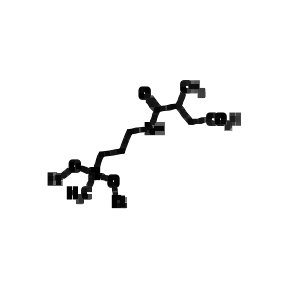 CCO[Si](C)(CCCNC(=O)C(C)CC(=O)O)OCC